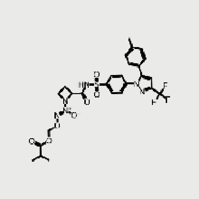 Cc1ccc(-c2cc(C(F)(F)F)nn2-c2ccc(S(=O)(=O)NC(=O)[C@@H]3CCN3/[N+]([O-])=N/OCOC(=O)C(C)C)cc2)cc1